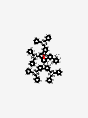 N#Cc1ccc(-n2c3ccc(-c4nc(-c5ccccc5)nc(-c5ccccc5)n4)cc3c3cc(-c4nc(-c5ccccc5)nc(-c5ccccc5)n4)ccc32)cc1-c1cc(-c2c(C(F)(F)F)cccc2C(F)(F)F)ccc1-n1c2ccc(-c3nc(-c4ccccc4)nc(-c4ccccc4)n3)cc2c2cc(-c3nc(-c4ccccc4)nc(-c4ccccc4)n3)ccc21